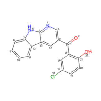 O=C(c1cnc2[nH]c3ccccc3c2c1)c1cc(Cl)ccc1O